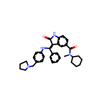 CN(C(=O)c1ccc2c(c1)/C(=C(/Nc1ccc(CN3CCCC3)cc1)c1ccccc1)C(=O)N2)C1CCCCC1